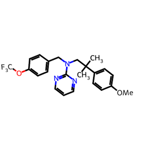 COc1ccc(C(C)(C)CN(Cc2ccc(OC(F)(F)F)cc2)c2ncccn2)cc1